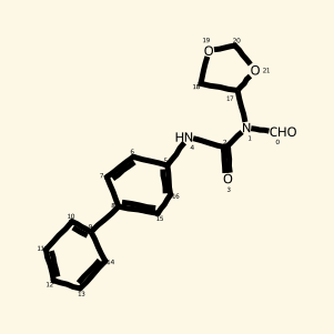 O=CN(C(=O)Nc1ccc(-c2ccccc2)cc1)C1COCO1